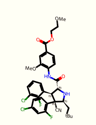 COCCOC(=O)c1ccc(NC(=O)[C@@H]2N[C@@H](CC(C)(C)C)[C@](C#N)(c3ccc(Cl)cc3F)[C@H]2c2cccc(Cl)c2F)c(OC)c1